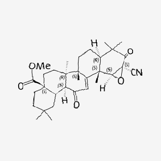 COC(=O)[C@]12CCC(C)(C)CC1[C@@H]1C(=O)C=C3[C@]4(C)[C@@H](CC[C@@]3(C)[C@]1(C)CC2)C(C)(C)C(=O)[C@@]1(C#N)O[C@@H]41